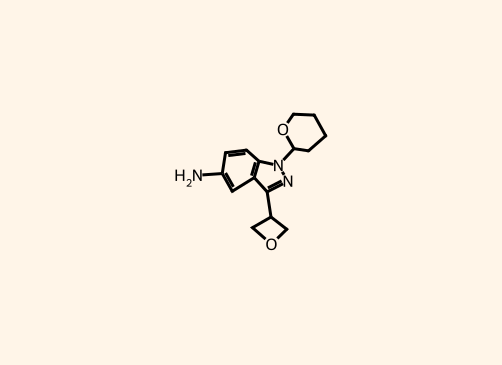 Nc1ccc2c(c1)c(C1COC1)nn2C1CCCCO1